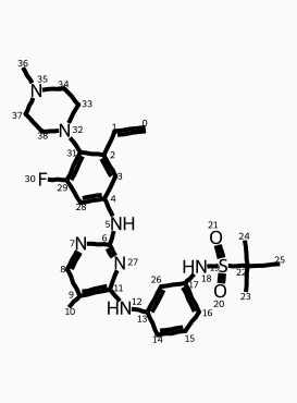 C=Cc1cc(Nc2ncc(C)c(Nc3cccc(NS(=O)(=O)C(C)(C)C)c3)n2)cc(F)c1N1CCN(C)CC1